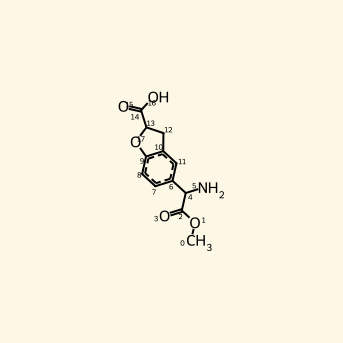 COC(=O)C(N)c1ccc2c(c1)CC(C(=O)O)O2